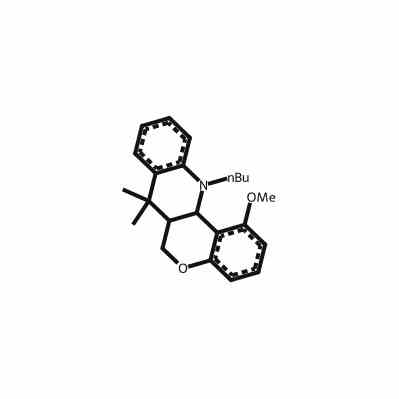 CCCCN1c2ccccc2C(C)(C)C2COc3cccc(OC)c3C21